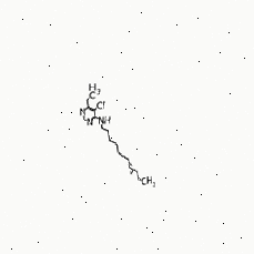 CCCSCCCCCCNc1ncnc(CC)c1Cl